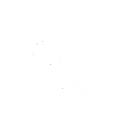 COc1cc(N(C)CCN(C)C)c([N+](=O)[O-])cc1Nc1cc(-c2cnn3cccnc23)ccn1